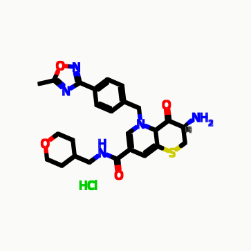 Cc1nc(-c2ccc(CN3C=C(C(=O)NCC4CCOCC4)C=C4SC[C@H](N)C(=O)C43)cc2)no1.Cl